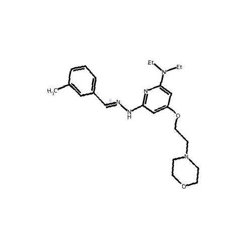 CCN(CC)c1cc(OCCN2CCOCC2)cc(N/N=C/c2cccc(C)c2)n1